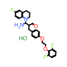 Cl.NC(C(C=O)Cc1ccc(OCCOc2c(F)cccc2F)cc1)N1CCCc2cc(F)ccc21